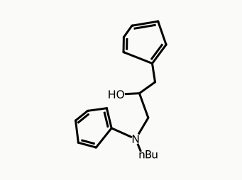 CCCCN(CC(O)Cc1ccccc1)c1ccccc1